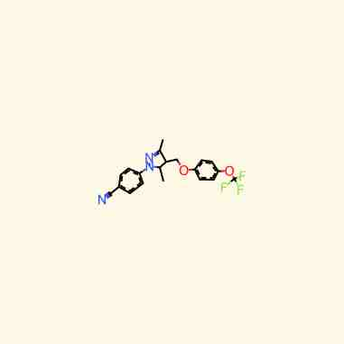 CC1=NN(c2ccc(C#N)cc2)C(C)C1COc1ccc(OC(F)(F)F)cc1